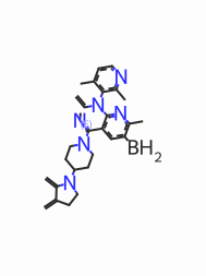 Bc1cc(/C(=N\C)N2CCC(N3CCC(=C)C3=C)CC2)c(N(C=C)c2c(C)ccnc2C)nc1C